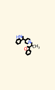 CC(CN1CC=C(c2c[nH]c3ccccc23)CC1)c1coc2ccccc12